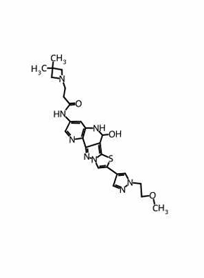 COCCn1cc(-c2cn3nc4c(c3s2)C(O)Nc2cc(NC(=O)CCN3CC(C)(C)C3)cnc2-4)cn1